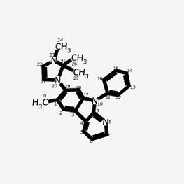 Cc1cc2c3cccnc3n(-c3ccccc3)c2cc1N1C=CN(C)C1(C)C